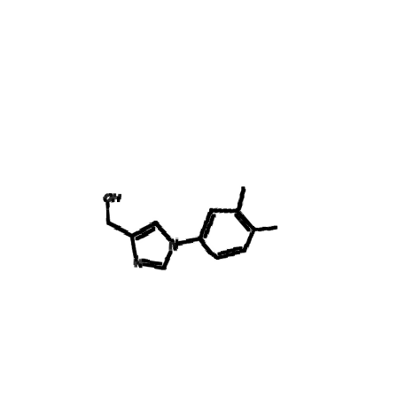 Cc1ccc(-n2cnc(CO)c2)cc1C